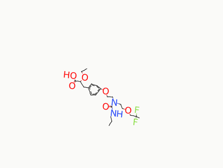 CCCNC(=O)N(CCOCC(C)(F)F)CCOc1ccc(CC(OCC)C(=O)O)cc1